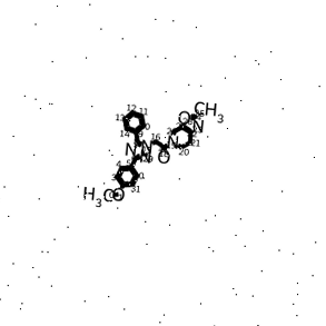 COc1ccc(-c2nc(-c3ccccc3)n(CC(=O)N3CCc4nc(C)oc4C3)n2)cc1